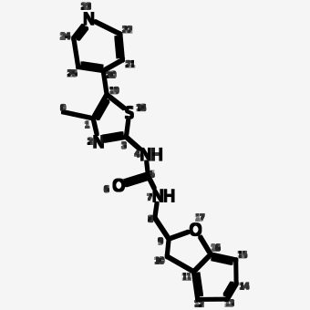 Cc1nc(NC(=O)NCC2Cc3ccccc3O2)sc1-c1ccncc1